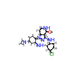 N=C1C[C@H](N2CCC2)CC[C@@H]1n1nc(Nc2ccc(Cl)cc2)c2c(=O)[nH]ccc21